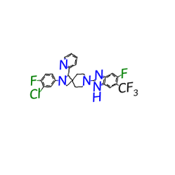 Fc1ccc(N2CC3(CCN(c4nc5cc(F)c(C(F)(F)F)cc5[nH]4)CC3)C2c2ccccn2)cc1Cl